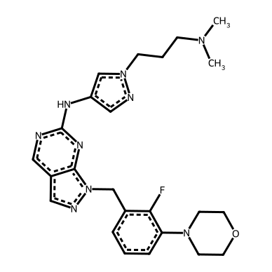 CN(C)CCCn1cc(Nc2ncc3cnn(Cc4cccc(N5CCOCC5)c4F)c3n2)cn1